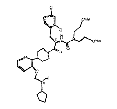 COCCN(CCOC)C(=O)N[C@H](Cc1ccc(Cl)cc1Cl)C(=O)N1CCC(C2N=CC=CC2OC[C@@H](I)N2CCCC2)CC1